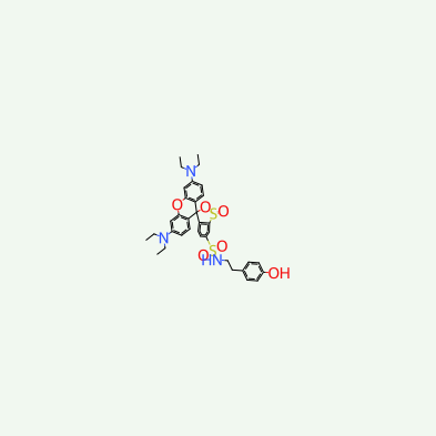 CCN(CC)c1ccc2c(c1)Oc1cc(N(CC)CC)ccc1C21OS(=O)c2cc(S(=O)(=O)NCCc3ccc(O)cc3)ccc21